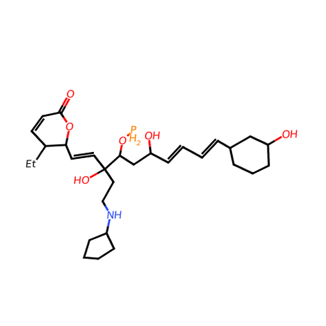 CCC1C=CC(=O)OC1C=CC(O)(CCNC1CCCC1)C(CC(O)C=CC=CC1CCCC(O)C1)OP